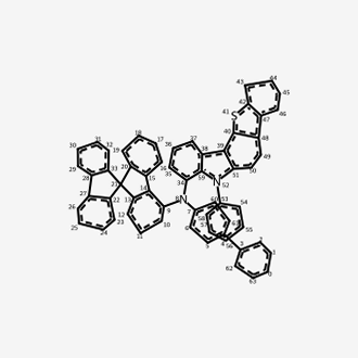 c1ccc(-c2ccc(N(c3cccc4c3-c3ccccc3C43c4ccccc4-c4ccccc43)c3cccc4c5c6sc7ccccc7c6ccc5n(-c5ccccc5)c34)cc2)cc1